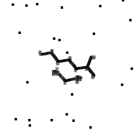 CC(C)CC(C)C.CCCCCC(C)C